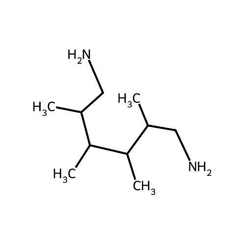 CC(CN)C(C)C(C)C(C)CN